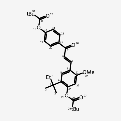 CCC(C)(C)c1cc(/C=C/C(=O)c2ccc(OC(=O)C(C)(C)C)cc2)c(OC)cc1OC(=O)C(C)(C)C